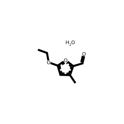 CCOc1cc(C)c(C=O)o1.O